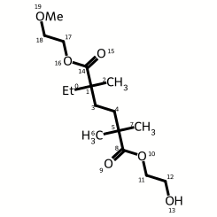 CCC(C)(CCC(C)(C)C(=O)OCCO)C(=O)OCCOC